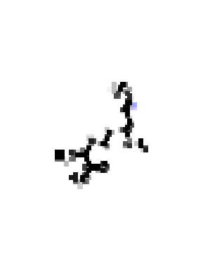 C/C=C/CC(C)CCCC(C)C(C)=O